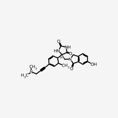 CC1C=C(C#CCN(C)C)C=CC1[C@]1(CN2Cc3ccc(O)cc3C2=O)NC(=O)NC1=O